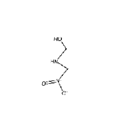 O=[N+]([O-])CNCO